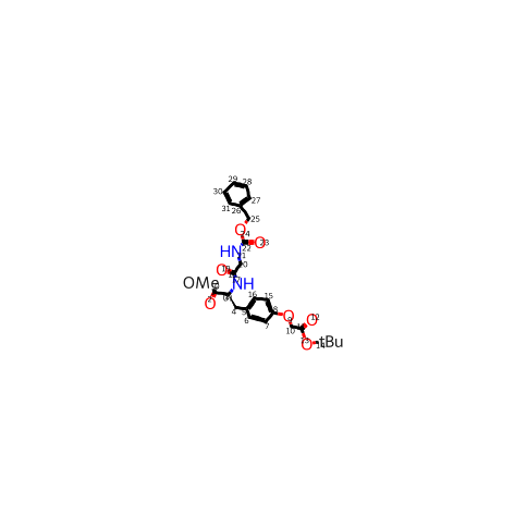 COC(=O)[C@H](Cc1ccc(OCC(=O)OC(C)(C)C)cc1)NC(=O)CNC(=O)OCc1ccccc1